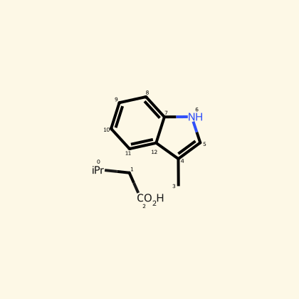 CC(C)CC(=O)O.Cc1c[nH]c2ccccc12